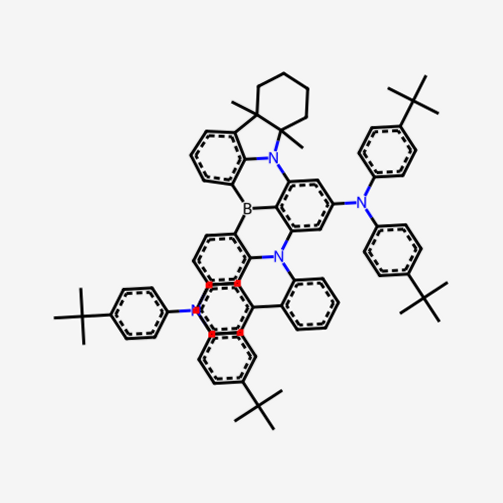 CC(C)(C)c1ccc(N(c2ccc(C(C)(C)C)cc2)c2ccc3c(c2)N(c2ccccc2-c2ccccc2)c2cc(N(c4ccc(C(C)(C)C)cc4)c4ccc(C(C)(C)C)cc4)cc4c2B3c2cccc3c2N4C2(C)CCCCC32C)cc1